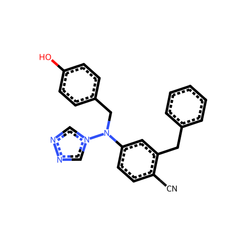 N#Cc1ccc(N(Cc2ccc(O)cc2)n2cnnc2)cc1Cc1ccccc1